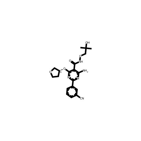 CC(C)(O)CONC(=O)c1c(N)nc(-c2cccc(C#N)c2)nc1O[C@@H]1CCOC1